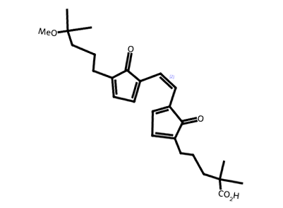 COC(C)(C)CCCC1=CC=C(/C=C\C2=CC=C(CCCC(C)(C)C(=O)O)C2=O)C1=O